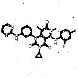 Cc1c(=O)n(C)c(Nc2ccc(I)cc2F)c2c(=O)n(C3CC3)c(=O)n(-c3cccc(Nc4ncccn4)c3)c12